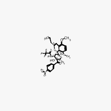 COc1ccc(OC)c2c1C[C@H](CCO)O[C@@H]2[C@]1(O)C[C@H](NC(=O)C(F)(F)F)[C@](O)(C(=O)c2ccc([N+](=O)[O-])cc2)[C@@H](C)O1